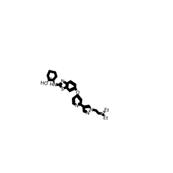 CCN(CC)CCn1cc(-c2cc(Oc3ccc4nc(N[C@@H]5CCCC[C@H]5O)sc4c3)ccn2)cn1